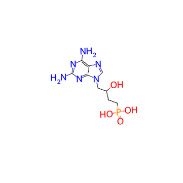 Nc1nc(N)c2ncn(CC(O)CCP(=O)(O)O)c2n1